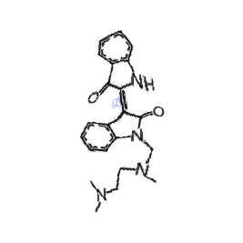 CN(C)CCN(C)CN1C(=O)/C(=C2\Nc3ccccc3C2=O)c2ccccc21